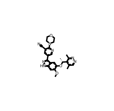 COc1cc2[nH]nc(-c3cnc(N4CCOCC4)c(C#N)c3)c2cc1O[C@H](C)c1c(C)cnnc1C